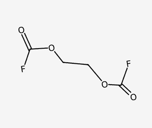 O=C(F)OCCOC(=O)F